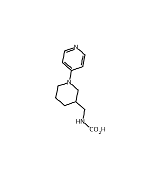 O=C(O)NCC1CCCN(c2ccncc2)C1